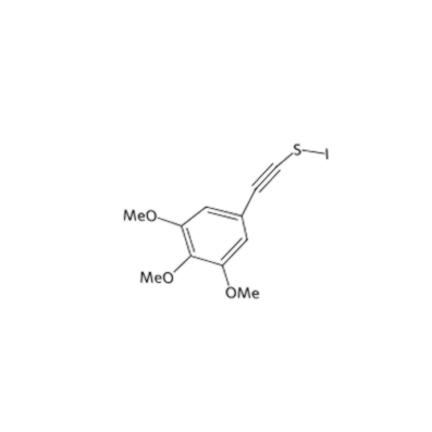 COc1cc(C#CSI)cc(OC)c1OC